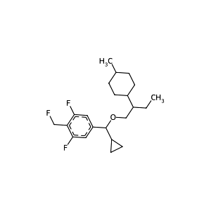 CCC(COC(c1cc(F)c(CF)c(F)c1)C1CC1)C1CCC(C)CC1